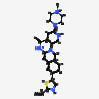 C=C(Nc1cc2cc(-c3cnc(NC)s3)ccc2cn1)c1ccnc(N2CCN(C)CC2)c1